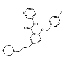 O=C(Nc1cccnc1)c1cc(CCCN2CCOCC2)ccc1OCc1ccc(F)cc1